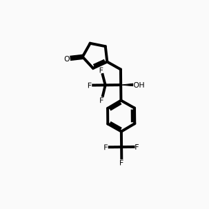 O=C1C=C(C[C@](O)(c2ccc(C(F)(F)F)cc2)C(F)(F)F)CC1